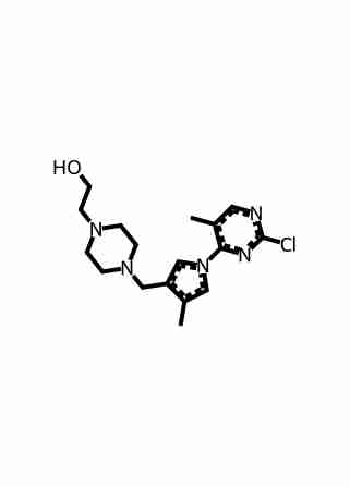 Cc1cn(-c2nc(Cl)ncc2C)cc1CN1CCN(CCO)CC1